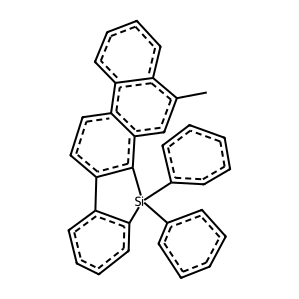 Cc1cc2c3c(ccc2c2ccccc12)-c1ccccc1[Si]3(c1ccccc1)c1ccccc1